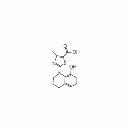 Cc1nc(N2CCCc3cccc(O)c32)sc1C(=O)O